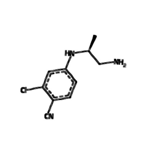 C[C@@H](CN)Nc1ccc(C#N)c(Cl)c1